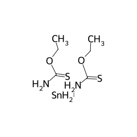 CCOC(N)=S.CCOC(N)=S.[SnH2]